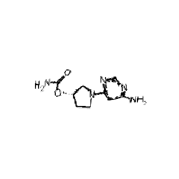 NC(=O)O[C@H]1CCN(c2cc(N)ncn2)C1